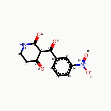 O=C1CCNC(=O)C1C(=O)c1cccc([N+](=O)[O-])c1